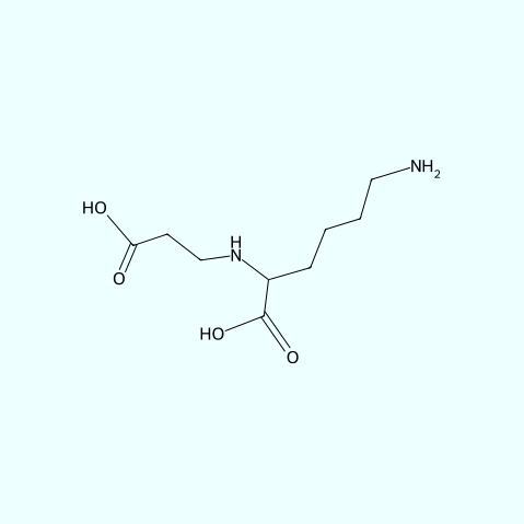 NCCCCC(NCCC(=O)O)C(=O)O